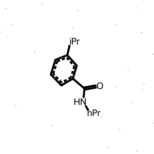 CCCNC(=O)c1cccc(C(C)C)c1